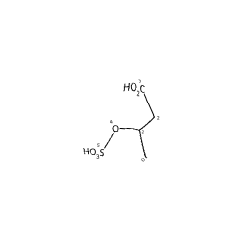 CC(CC(=O)O)OS(=O)(=O)O